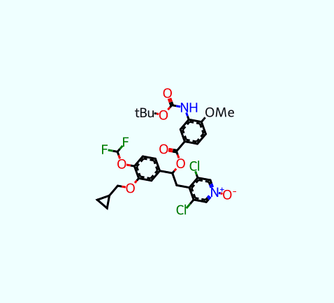 COc1ccc(C(=O)OC(Cc2c(Cl)c[n+]([O-])cc2Cl)c2ccc(OC(F)F)c(OCC3CC3)c2)cc1NC(=O)OC(C)(C)C